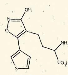 NC(CCc1c(O)noc1-c1ccsc1)C(=O)O